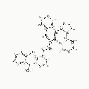 OCc1ccccc1Sc1ccccc1CNc1nc(N2CCCC2c2ccccn2)c2ccccc2n1